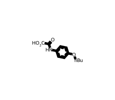 CCCCOc1ccc(NC(=O)C(=O)O)cc1